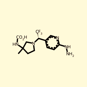 CC1(NC(=O)O)CCN([C@@H](c2ccc(NN)nc2)C(F)(F)F)C1